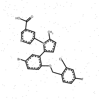 Cc1ccc(-c2cc(Br)ccc2OCc2ccc(F)cc2Cl)n1-c1cncc(C(=O)O)c1